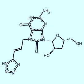 Nc1nc2c(c(=O)[nH]1)n(C/C=C/c1nnn[nH]1)c(=O)n2[C@@H]1O[C@H](CO)C[C@H]1O